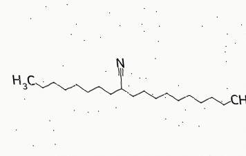 CCCCCCCCCCC(C#N)CCCCCCCC